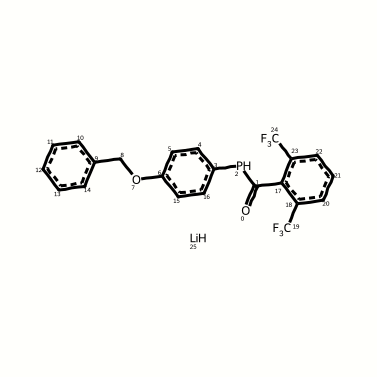 O=C(Pc1ccc(OCc2ccccc2)cc1)c1c(C(F)(F)F)cccc1C(F)(F)F.[LiH]